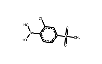 CS(=O)(=O)c1ccc(B(O)O)c(Cl)c1